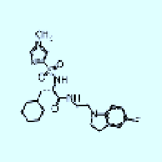 Cn1cnc(S(=O)(=O)N[C@@H](CC2CCCCC2)C(=O)NCCN2CCc3cc(F)ccc32)c1